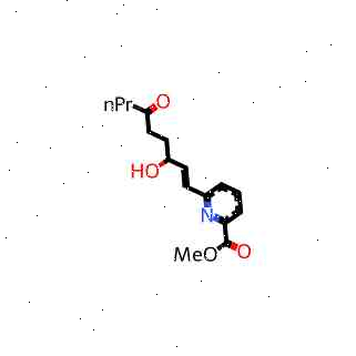 CCCC(=O)CCC(O)/C=C/c1cccc(C(=O)OC)n1